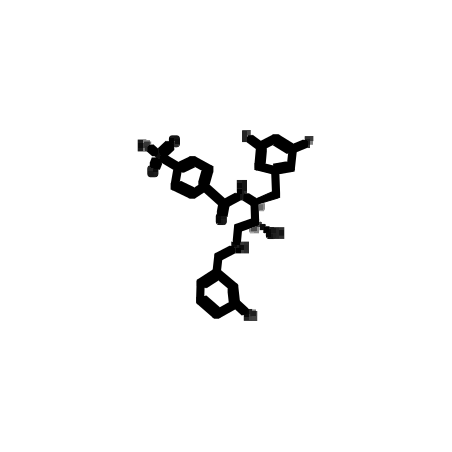 CCc1cccc(CNC[C@@H](O)[C@H](Cc2cc(F)cc(F)c2)NC(=O)c2ccc(S(=O)(=O)CC)cc2)c1